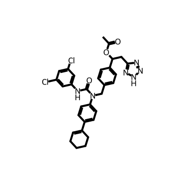 CC(=O)OC(Cc1nn[nH]n1)c1ccc(CN(C(=O)Nc2cc(Cl)cc(Cl)c2)c2ccc(C3=CCCCC3)cc2)cc1